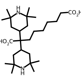 CC1(C)CC(C(CCCCCCC(=O)O)(C(=O)O)C2CC(C)(C)NC(C)(C)C2)CC(C)(C)N1